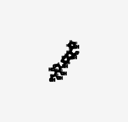 O=C[C@H](Nc1ccc2cc(-c3ccc[nH]3)c(=O)[nH]c2c1)[C@@H](O)[C@H](O)[C@H](O)CO